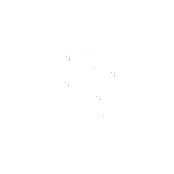 [SeH]n1cnc2cncnc21